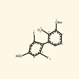 COc1cc(F)c(-c2[c]ccc(OC)c2[N+](=O)[O-])c(F)c1